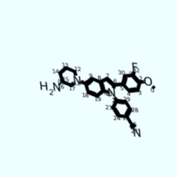 COc1ccc(-c2cc3cc(N4CCC[C@@H](N)C4)ccc3n2-c2ccc(C#N)cc2)cc1F